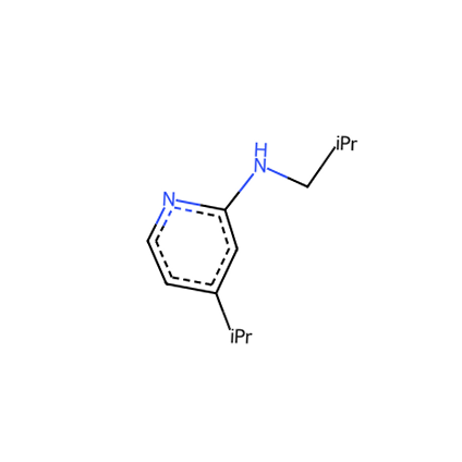 CC(C)CNc1cc(C(C)C)ccn1